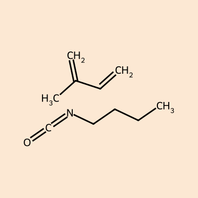 C=CC(=C)C.CCCCN=C=O